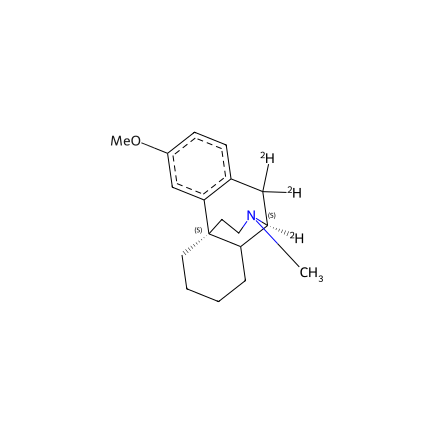 [2H]C1([2H])c2ccc(OC)cc2[C@]23CCCCC2[C@@]1([2H])N(C)CC3